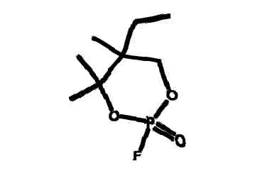 CCC1(C)COP(=O)(F)OC1(C)C